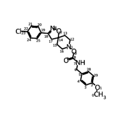 COc1ccc(CNC(=O)ON2CCC3(CC2)CC(c2ccc(Cl)cc2)=NO3)cc1